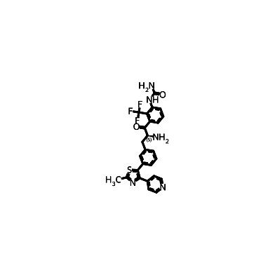 Cc1nc(-c2ccncc2)c(-c2cccc(C[C@H](N)C(=O)c3cccc(NC(N)=O)c3C(F)(F)F)c2)s1